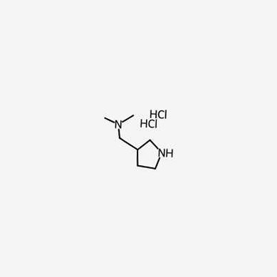 CN(C)CC1CCNC1.Cl.Cl